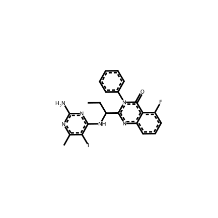 CCC(Nc1nc(N)nc(C)c1I)c1nc2cccc(F)c2c(=O)n1-c1ccccc1